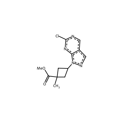 COC(=O)C1(C)CC(n2ncc3cnc(Cl)nc32)C1